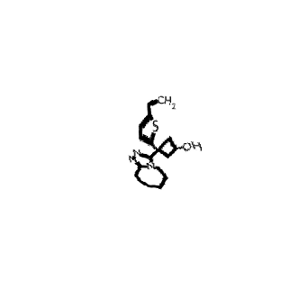 C=Cc1ccc([C@]2(c3nnc4n3CCCCCC4)C[C@H](O)C2)s1